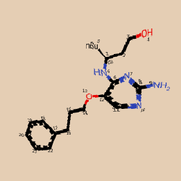 CCCC[C@@H](CCO)Nc1nc(N)ncc1OCCCc1ccccc1